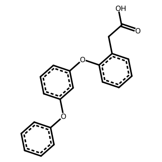 O=C(O)Cc1ccccc1Oc1cccc(Oc2ccccc2)c1